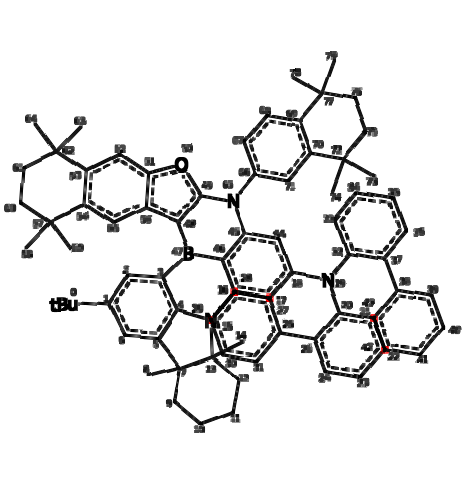 CC(C)(C)c1cc2c3c(c1)C1(C)CCCCC1(C)N3c1cc(N(c3ccccc3-c3ccccc3)c3ccccc3-c3ccccc3)cc3c1B2c1c(oc2cc4c(cc12)C(C)(C)CCC4(C)C)N3c1ccc2c(c1)C(C)(C)CCC2(C)C